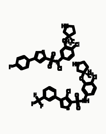 C[C@@]1(Oc2cc(N(Cl)S(=O)(=O)c3cc(-c4ccc(F)cc4)cs3)ccc2Cl)CCNC1.C[C@@]1(Oc2cc(NS(=O)(=O)c3scc(-c4cccc(C(F)(F)F)c4)c3Cl)ccc2Cl)CCNC1